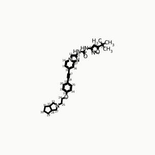 CC(C)(C)c1cc(NC(=O)Nc2cn3ccc(C#Cc4ccc(OCCN5CC6CCCC6C5)cc4)cc3n2)no1